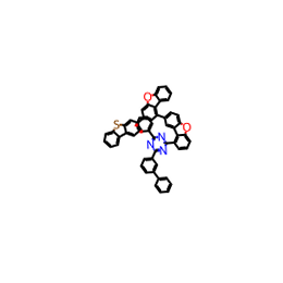 c1ccc(-c2cccc(-c3nc(-c4ccccc4)nc(-c4cccc5oc6ccc(-c7cc(-c8ccc9c(c8)sc8ccccc89)cc8oc9ccccc9c78)cc6c45)n3)c2)cc1